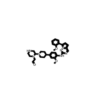 COc1cc(C2CCN(C3CNCCN3CC=O)CC2)ccc1Nc1ncc2ccc(-c3ccccc3OC)n2n1